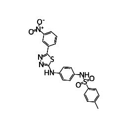 Cc1ccc(S(=O)(=O)Nc2ccc(Nc3nnc(-c4cccc([N+](=O)[O-])c4)s3)cc2)cc1